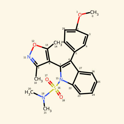 COc1ccc(-c2c(-c3c(C)noc3C)n(S(=O)(=O)N(C)C)c3ccccc23)cc1